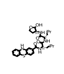 CC(C)C[C@H](NC(=O)c1ccc2c(c1)Nc1ccccc1S2)C(=O)N[C@@H](CC(C)C)C(=O)N[C@H]1CCOC1O